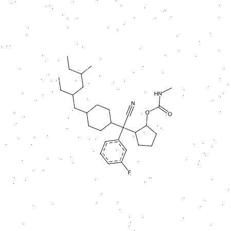 CCC(C)CC(CC)CC1CCC(C(C#N)(c2cccc(F)c2)C2CCCC2OC(=O)NC)CC1